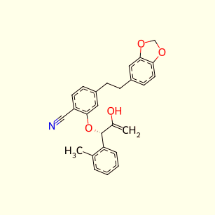 C=C(O)[C@@H](Oc1cc(CCc2ccc3c(c2)OCO3)ccc1C#N)c1ccccc1C